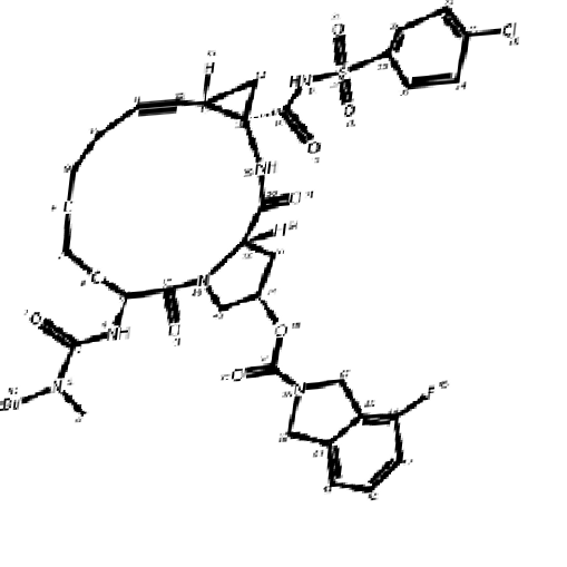 CN(C(=O)N[C@H]1CCCCC/C=C\[C@@H]2C[C@@]2(C(=O)NS(=O)(=O)c2ccc(Cl)cc2)NC(=O)[C@@H]2C[C@@H](OC(=O)N3Cc4cccc(F)c4C3)CN2C1=O)C(C)(C)C